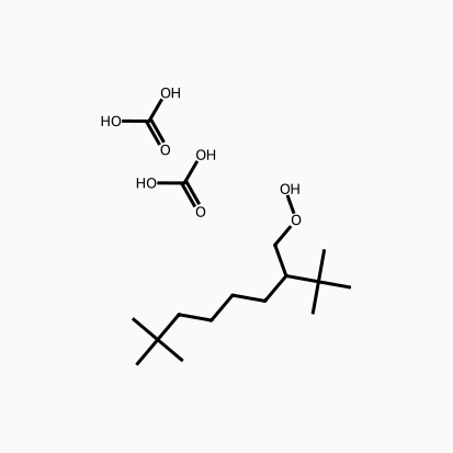 CC(C)(C)CCCCC(COO)C(C)(C)C.O=C(O)O.O=C(O)O